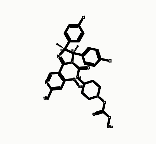 CCOc1cc(C(C)(C)C)ncc1C1=N[C@@](C)(c2ccc(Cl)cc2)[C@@](C)(c2ccc(Cl)cc2)N1C(=O)NC1CCN(OC(=O)OC(C)(C)C)CC1